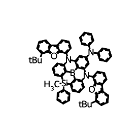 CC(C)(C)c1cccc2c1oc1c(N3c4cc(N(c5ccccc5)c5ccccc5)cc5c4B4c6c3cccc6[Si](C)(c3ccccc3)c3cccc(c34)N5c3cccc4c3oc3c(C(C)(C)C)cccc34)cccc12